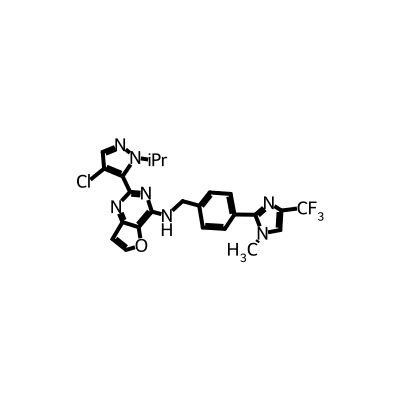 CC(C)n1ncc(Cl)c1-c1nc(NCc2ccc(-c3nc(C(F)(F)F)cn3C)cc2)c2occc2n1